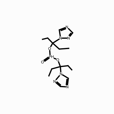 CCC(CC)(O[PH](=O)OC(CC)(CC)n1cncn1)n1cncn1